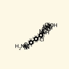 Nc1nnc(-c2ccc(-c3ccc(-c4cc5nc(O[C@@H]6CO[C@H]7[C@@H]6OC[C@H]7O)[nH]c5cc4Cl)cc3)cc2)o1